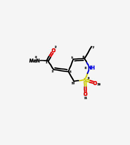 CNC(=O)/C=C1\C=C(C)NS(=O)(=O)C1